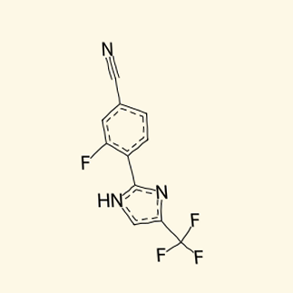 N#Cc1ccc(-c2nc(C(F)(F)F)c[nH]2)c(F)c1